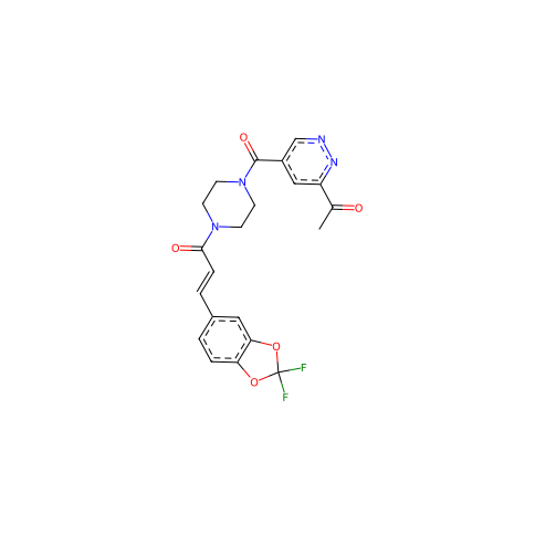 CC(=O)c1cc(C(=O)N2CCN(C(=O)C=Cc3ccc4c(c3)OC(F)(F)O4)CC2)cnn1